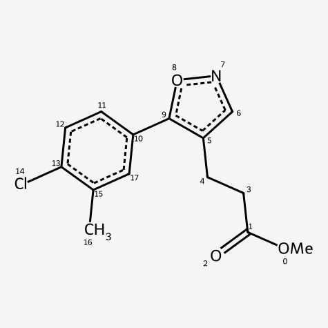 COC(=O)CCc1cnoc1-c1ccc(Cl)c(C)c1